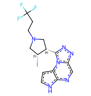 FC(F)(F)CCN1C[C@@H](I)[C@@H](c2nnc3cnc4[nH]ccc4n23)C1